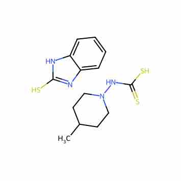 CC1CCN(NC(=S)S)CC1.Sc1nc2ccccc2[nH]1